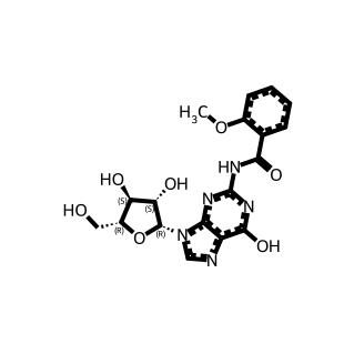 COc1ccccc1C(=O)Nc1nc(O)c2ncn([C@@H]3O[C@H](CO)[C@@H](O)[C@@H]3O)c2n1